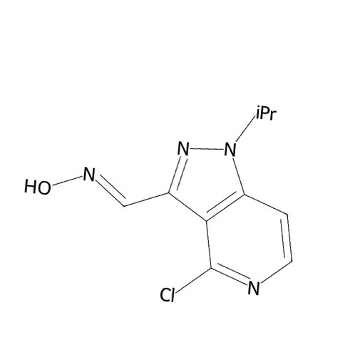 CC(C)n1nc(C=NO)c2c(Cl)nccc21